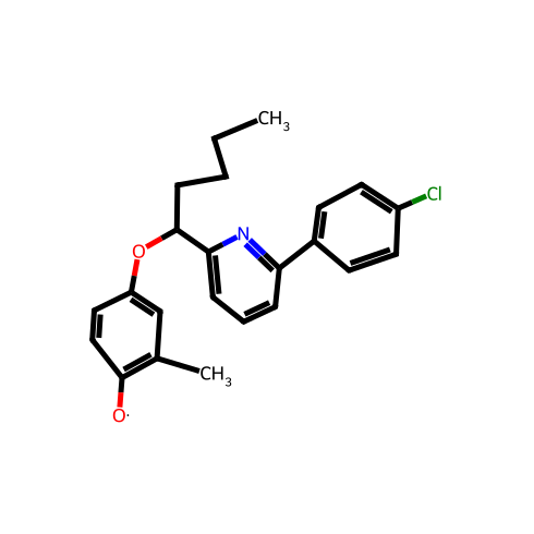 CCCCC(Oc1ccc([O])c(C)c1)c1cccc(-c2ccc(Cl)cc2)n1